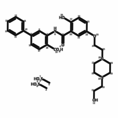 CS(=O)(=O)O.CS(=O)(=O)O.O=C(Nc1cc(-c2ccccc2)ccc1C(=O)O)c1cc(OCCN2CCN(CCO)CC2)ccc1O